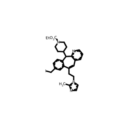 CCOC(=O)N1CCC(C2c3ccc(CI)cc3C(CCn3ccnc3C)=Cc3cccnc32)CC1